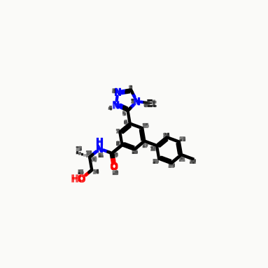 CCn1cnnc1-c1cc(C(=O)N[C@@H](C)CO)cc(-c2ccc(C)cc2)c1